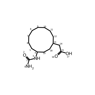 NC(=O)NC1CCCCCCCCC(CC(=O)O)CC1